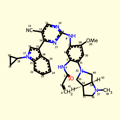 C=CC(=O)Nc1cc(Nc2ncc(C#N)c(-c3cn(C4CC4)c4ccccc34)n2)c(OC)cc1N1C[C@@H]2CCN(C)[C@@H]2C1